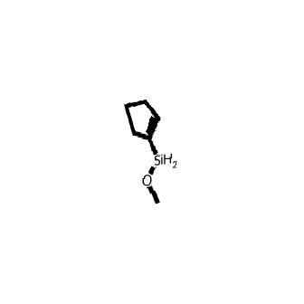 CO[SiH2]C1=CCCC1